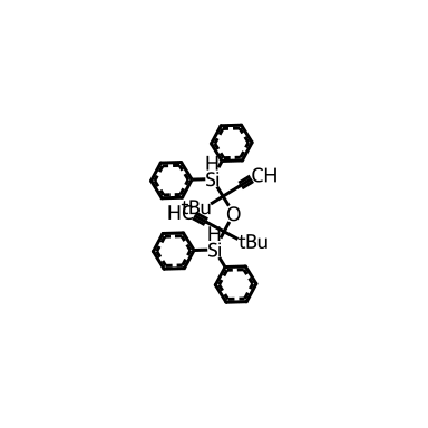 C#CC(OC(C#C)([SiH](c1ccccc1)c1ccccc1)C(C)(C)C)([SiH](c1ccccc1)c1ccccc1)C(C)(C)C